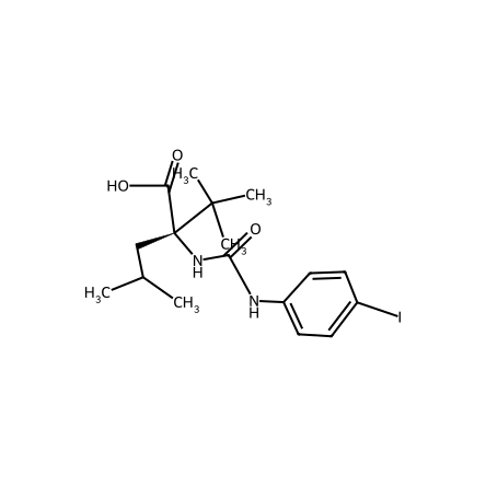 CC(C)C[C@@](NC(=O)Nc1ccc(I)cc1)(C(=O)O)C(C)(C)C